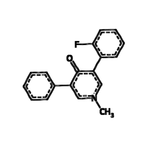 Cn1cc(-c2ccccc2)c(=O)c(-c2ccccc2F)c1